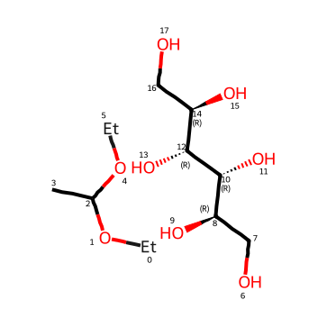 CCOC(C)OCC.OC[C@@H](O)[C@@H](O)[C@H](O)[C@H](O)CO